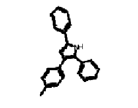 Cc1ccc(-c2cc(-c3ccccc3)[nH]c2-c2ccccc2)cc1